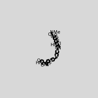 CNC(=O)COc1cc2cc(Nc3nc(N4CCC5(CCN(CC6CCN(c7ccc8c(C9CCC(=O)NC9=O)nn(C)c8c7F)CC6)CC5)CC4)ncc3Cl)cnc2n(C)c1=O